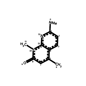 CNc1ccc2c(C)cc(=O)n(C)c2n1